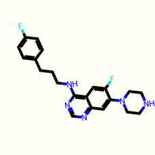 Fc1ccc(CCCNc2ncnc3cc(N4CCNCC4)c(F)cc23)cc1